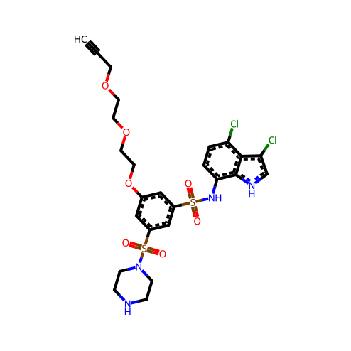 C#CCOCCOCCOc1cc(S(=O)(=O)Nc2ccc(Cl)c3c(Cl)c[nH]c23)cc(S(=O)(=O)N2CCNCC2)c1